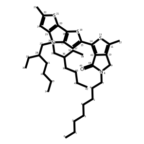 CCCCCCCCN1Cc2c(C)sc(-c3cc4c(s3)-c3sc(C)cc3[Si]4(CC(CC)CCCC)CC(CC)CCCC)c2C1=O